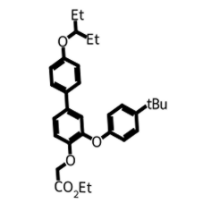 CCOC(=O)COc1ccc(-c2ccc(OC(CC)CC)cc2)cc1Oc1ccc(C(C)(C)C)cc1